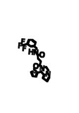 O=C(CCC(=O)N1CCn2cccc2C1c1cccs1)NCc1cccc(C(F)(F)F)c1